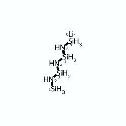 [Li].[SiH3]N[SiH2]N[SiH2]N[SiH3]